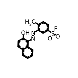 Cc1ccc(S(=O)(=O)F)cc1/N=N/c1c(O)ccc2ccccc12